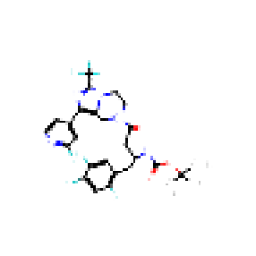 CC(C)(C)OC(=O)NC(CC(=O)N1CCn2c(C(F)(F)F)nc(-c3ccnc(F)c3)c2C1)Cc1cc(F)c(F)cc1F